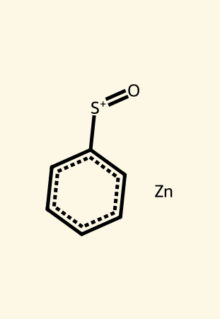 O=[S+]c1ccccc1.[Zn]